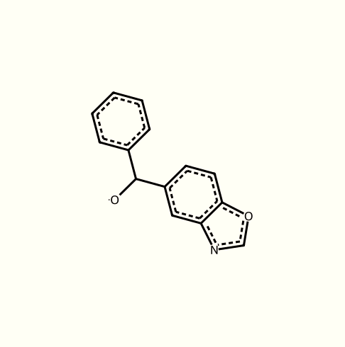 [O]C(c1ccccc1)c1ccc2ocnc2c1